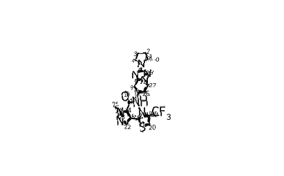 C[C@H]1CCCN1c1nc2cc(NC(=O)c3c(-c4nc(C(F)(F)F)cs4)cnn3C)ccn2n1